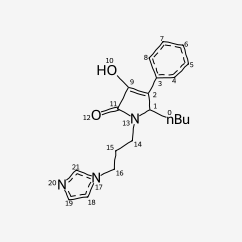 CCCCC1C(c2ccccc2)=C(O)C(=O)N1CCCn1ccnc1